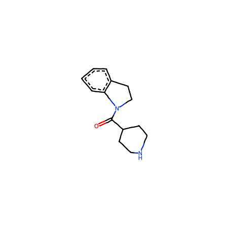 O=C(C1CCNCC1)N1CCc2ccccc21